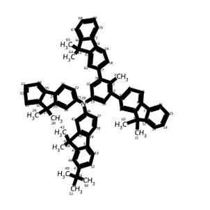 Cc1c(-c2ccc3c(c2)C(C)(C)c2ccccc2-3)cc(N(c2ccc3c(c2)C(C)(C)c2ccccc2-3)c2ccc3c(c2)C(C)(C)c2cc(C(C)(C)C)ccc2-3)cc1-c1ccc2c(c1)C(C)(C)c1ccccc1-2